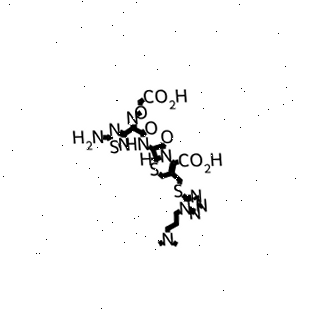 CN(C)CCCn1nnnc1SCC1=C(C(=O)O)N2C(=O)C(NC(=O)/C(=N\OCC(=O)O)c3nsc(N)n3)[C@H]2SC1